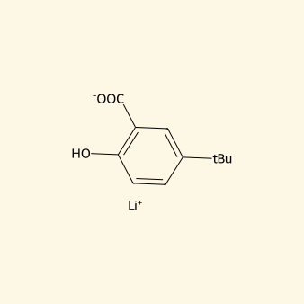 CC(C)(C)c1ccc(O)c(C(=O)[O-])c1.[Li+]